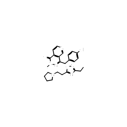 CCc1noc(CCN2CCC[C@@H]2Cn2nc(Cc3ccc(Cl)cc3)c3cnccc3c2=O)n1